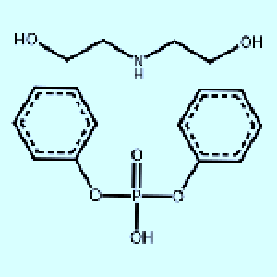 O=P(O)(Oc1ccccc1)Oc1ccccc1.OCCNCCO